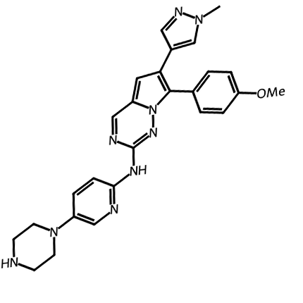 COc1ccc(-c2c(-c3cnn(C)c3)cc3cnc(Nc4ccc(N5CCNCC5)cn4)nn23)cc1